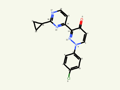 O=c1ccn(-c2ccc(Cl)cc2)nc1-c1ccnc(C2CC2)n1